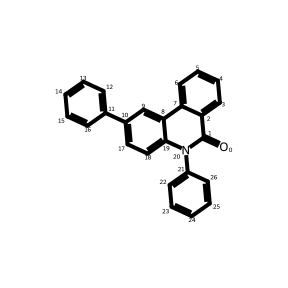 O=c1c2ccccc2c2cc(-c3ccccc3)ccc2n1-c1ccccc1